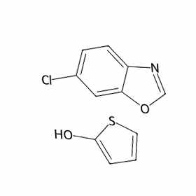 Clc1ccc2ncoc2c1.Oc1cccs1